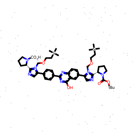 CC(C)(C)OC(=O)N1CCC[C@H]1c1ncc(-c2ccc3nc(-c4ccc(-c5cnc([C@@H]6CCCN6C(=O)O)n5COCC[Si](C)(C)C)cc4)nc(O)c3c2)n1COCC[Si](C)(C)C